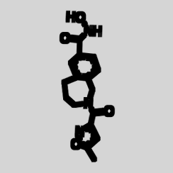 Cc1cc(C(=O)N2CCCc3cc(C(=O)NO)ccc3C2)no1